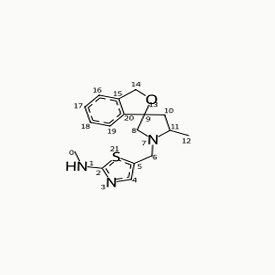 CNc1ncc(CN2CC3(CC2C)OCc2ccccc23)s1